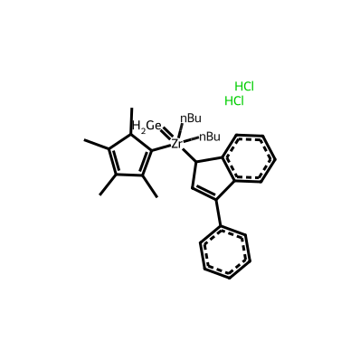 CCC[CH2][Zr](=[GeH2])([CH2]CCC)([C]1=C(C)C(C)=C(C)C1C)[CH]1C=C(c2ccccc2)c2ccccc21.Cl.Cl